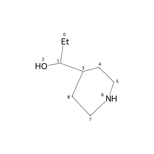 CCC(O)C1CCNCC1